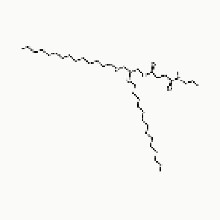 CCCCCCCCCCCCCCOCC(COC(=O)CCC(=O)NCCC)OCCCCCCCCCCCCCC